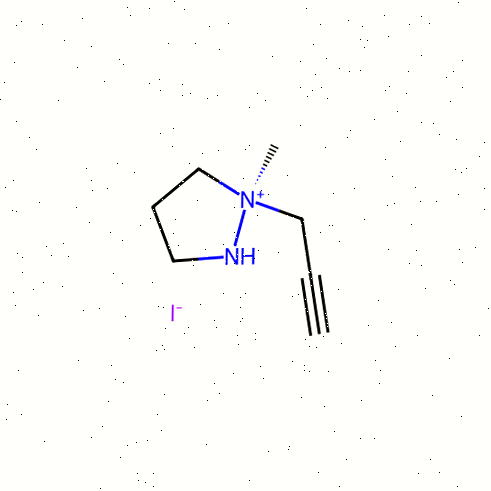 C#CC[N@+]1(C)CCCN1.[I-]